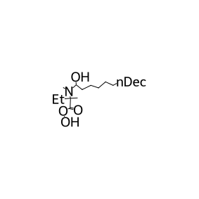 CCCCCCCCCCCCCCCC(O)N(C)C(C)(CC)C(=O)OO